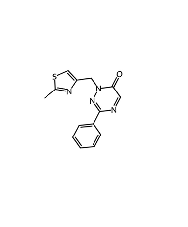 Cc1nc(Cn2nc(-c3ccccc3)ncc2=O)cs1